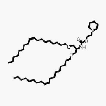 CCCCCCCC/C=C\CCCCCCCCOCC(COCCCCCCCC/C=C\CCCCCCCC)NC(=O)OCCN1CCCCC1